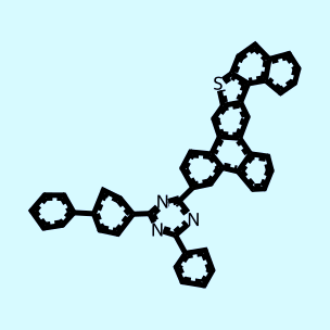 c1ccc(-c2ccc(-c3nc(-c4ccccc4)nc(-c4ccc5c(c4)c4ccccc4c4cc6c(cc54)sc4ccc5ccccc5c46)n3)cc2)cc1